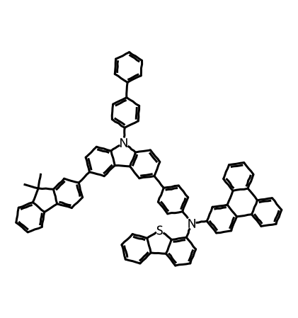 CC1(C)c2ccccc2-c2ccc(-c3ccc4c(c3)c3cc(-c5ccc(N(c6ccc7c8ccccc8c8ccccc8c7c6)c6cccc7c6sc6ccccc67)cc5)ccc3n4-c3ccc(-c4ccccc4)cc3)cc21